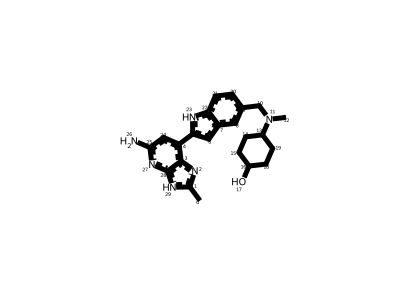 Cc1nc2c(-c3cc4cc(CN(C)C5CCC(O)CC5)ccc4[nH]3)cc(N)nc2[nH]1